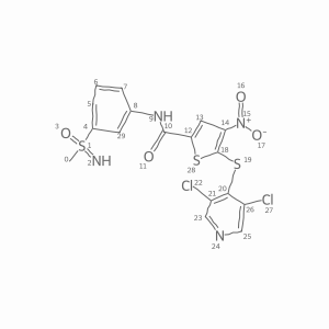 CS(=N)(=O)c1cccc(NC(=O)c2cc([N+](=O)[O-])c(Sc3c(Cl)cncc3Cl)s2)c1